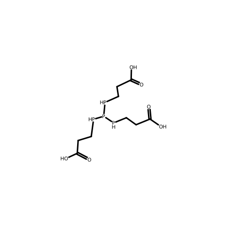 O=C(O)CCPP(PCCC(=O)O)PCCC(=O)O